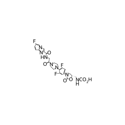 O=C(O)NC[C@H]1CN(c2cc(F)c(N3CCN(C(=O)CNC(=O)c4cn5cc(F)ccc5n4)CC3)c(F)c2)C(=O)O1